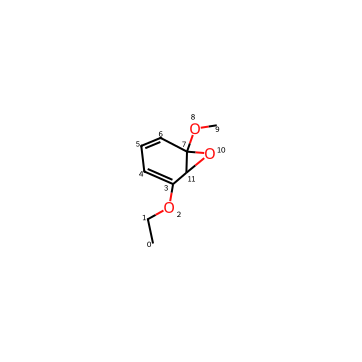 CCOC1=CC=CC2(OC)OC12